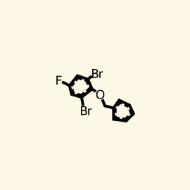 Fc1cc(Br)c(OCc2ccccc2)c(Br)c1